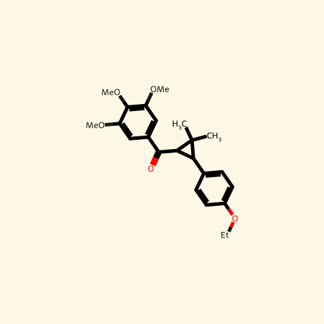 CCOc1ccc(C2C(C(=O)c3cc(OC)c(OC)c(OC)c3)C2(C)C)cc1